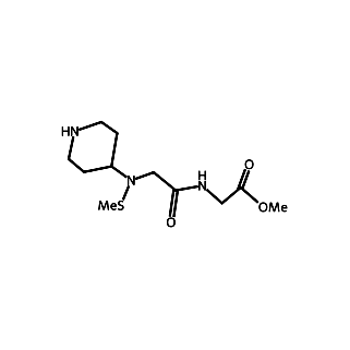 COC(=O)CNC(=O)CN(SC)C1CCNCC1